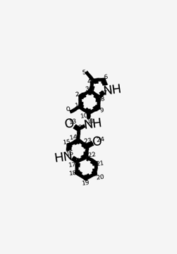 Cc1cc2c(C)c[nH]c2cc1NC(=O)c1c[nH]c2ccccc2c1=O